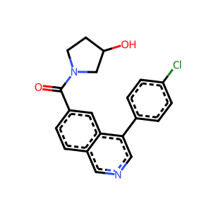 O=C(c1ccc2cncc(-c3ccc(Cl)cc3)c2c1)N1CCC(O)C1